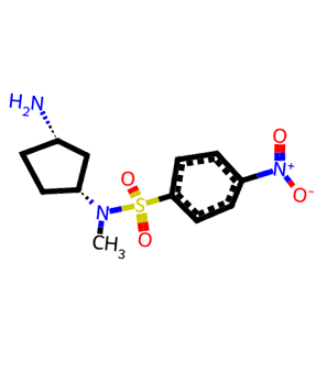 CN([C@@H]1CC[C@H](N)C1)S(=O)(=O)c1ccc([N+](=O)[O-])cc1